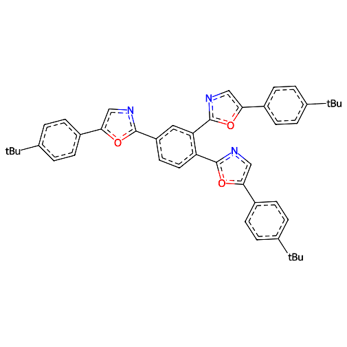 CC(C)(C)c1ccc(-c2cnc(-c3ccc(-c4ncc(-c5ccc(C(C)(C)C)cc5)o4)c(-c4ncc(-c5ccc(C(C)(C)C)cc5)o4)c3)o2)cc1